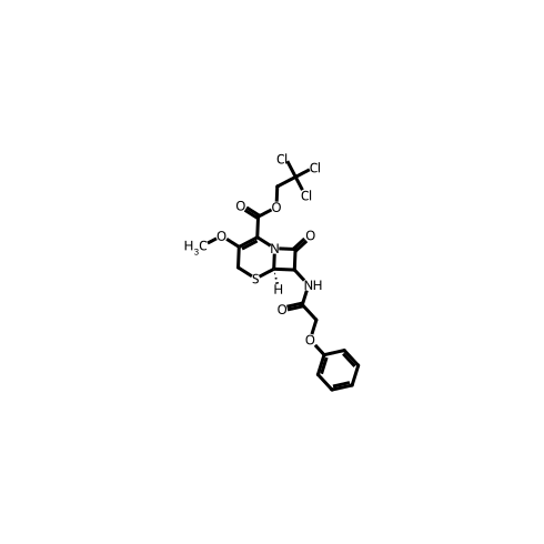 COC1=C(C(=O)OCC(Cl)(Cl)Cl)N2C(=O)C(NC(=O)COc3ccccc3)[C@H]2SC1